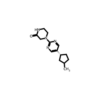 CC1CC[C@@H](c2cnc(N3CCNC(=O)C3)nc2)C1